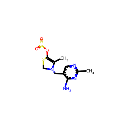 CC1=C(O[SH](=O)=O)SCN1Cc1cnc(C)nc1N